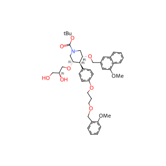 COc1ccccc1COCCCOc1ccc([C@@H]2[C@@H](OCc3cc(OC)c4ccccc4c3)CN(C(=O)OC(C)(C)C)C[C@H]2OC[C@@H](O)CO)cc1